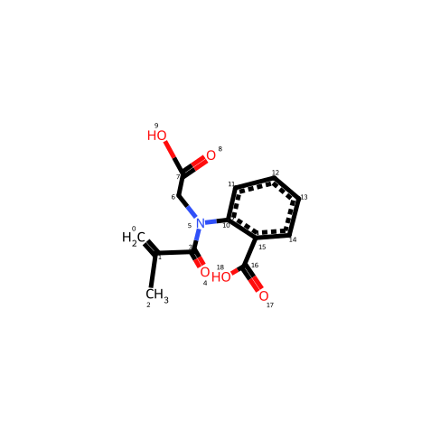 C=C(C)C(=O)N(CC(=O)O)c1ccccc1C(=O)O